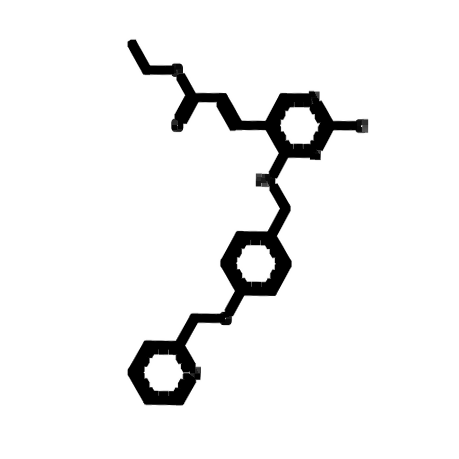 CCOC(=O)/C=C/c1cnc(Cl)nc1NCc1ccc(OCc2ccccn2)cc1